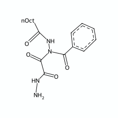 CCCCCCCCC(=O)NN(C(=O)C(=O)NN)C(=O)c1ccccc1